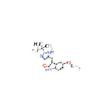 COc1ccc2c(c1)C(=Cc1cnc(C(C)(C)C)[nH]1)C(=O)N2